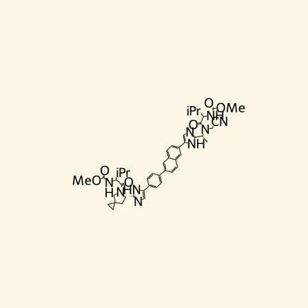 COC(=O)NC(C(=O)N(CC#N)[C@@H](C)c1ncc(-c2ccc3cc(-c4ccc(-c5cnc([C@@H]6CC7(CC7)CN6C(=O)[C@@H](NC(=O)OC)C(C)C)[nH]5)cc4)ccc3c2)[nH]1)C(C)C